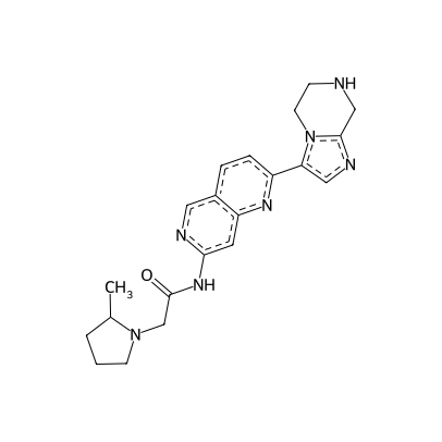 CC1CCCN1CC(=O)Nc1cc2nc(-c3cnc4n3CCNC4)ccc2cn1